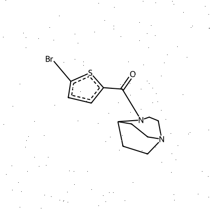 O=C(c1ccc(Br)s1)N1CCN2CCC1CC2